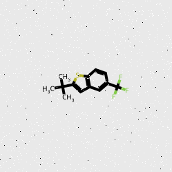 CC(C)(C)c1cc2cc(C(F)(F)F)ccc2s1